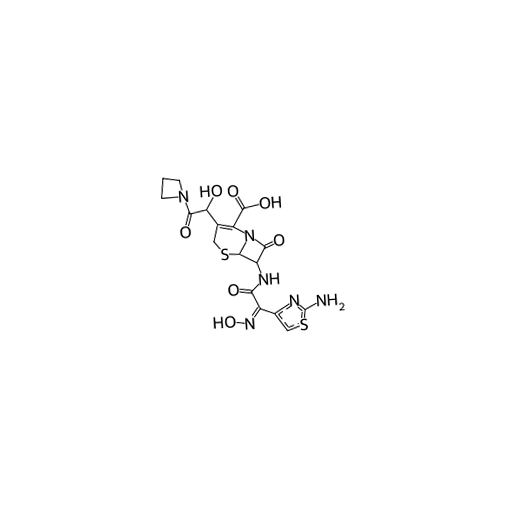 Nc1nc(/C(=N/O)C(=O)NC2C(=O)N3C(C(=O)O)=C(C(O)C(=O)N4CCC4)CSC23)cs1